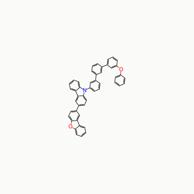 c1ccc(Oc2cccc(-c3cccc(-c4cccc(-n5c6ccccc6c6cc(-c7ccc8oc9ccccc9c8c7)ccc65)c4)c3)c2)cc1